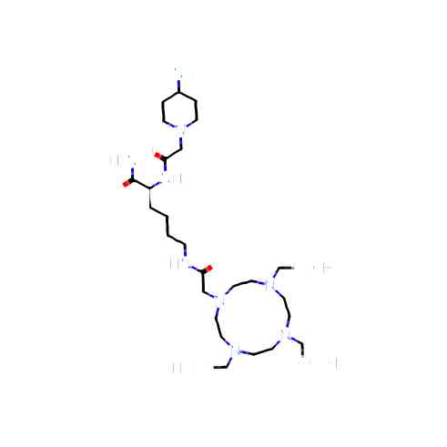 NC(=O)[C@H](CCCCNC(=O)CN1CCN(CC(=O)O)CCN(CC(=O)O)CCN(CC(=O)O)CC1)NC(=O)CN1CCC(N)CC1